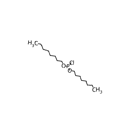 CCCCCCCCOP(Cl)OCCCCCCCC